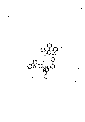 c1ccc(-c2cc(-c3cccc(-c4ccc(-c5nc6ccccc6c6c(-c7ccccc7)c7c(cc56)oc5ccccc57)cc4)c3)nc(-c3ccc(-c4cccc5c4oc4ccccc45)cc3)n2)cc1